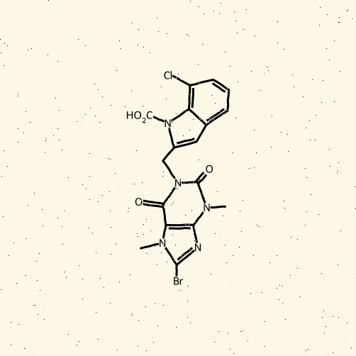 Cn1c(Br)nc2c1c(=O)n(Cc1cc3cccc(Cl)c3n1C(=O)O)c(=O)n2C